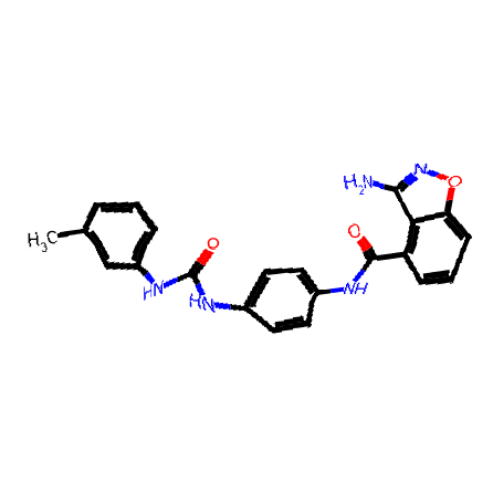 Cc1cccc(NC(=O)Nc2ccc(NC(=O)c3cccc4onc(N)c34)cc2)c1